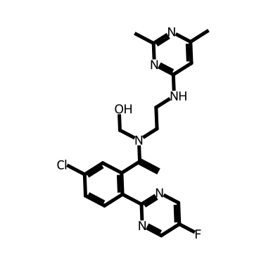 C=C(c1cc(Cl)ccc1-c1ncc(F)cn1)N(CO)CCNc1cc(C)nc(C)n1